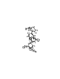 CCCc1cc(-c2cc(=O)n3cc(C4CCCNC4)ccc3n2)ccc1OC